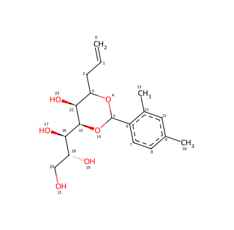 C=CCC1OC(c2ccc(C)cc2C)O[C@@H]([C@H](O)[C@H](O)CO)[C@H]1O